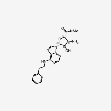 CNC(=O)[C@H]1O[C@@H](n2cnc3c(NCCc4ccccc4)ncnc32)[C@H](O)[C@@H]1N